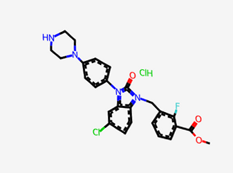 COC(=O)c1cccc(Cn2c(=O)n(-c3ccc(N4CCNCC4)cc3)c3cc(Cl)ccc32)c1F.Cl